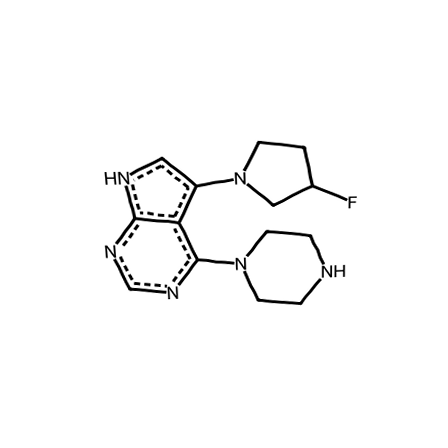 FC1CCN(c2c[nH]c3ncnc(N4CCNCC4)c23)C1